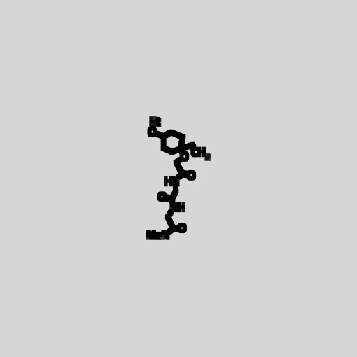 C=CC1(OCC(=O)NCC(=O)NCC(=O)NC)CCC(OCC)CC1